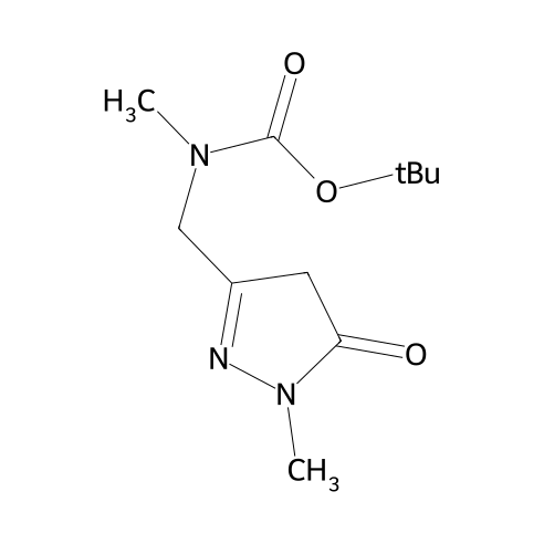 CN(CC1=NN(C)C(=O)C1)C(=O)OC(C)(C)C